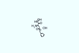 Cl.N[C@@H](CC(=O)OCc1ccccc1)C(=O)NO